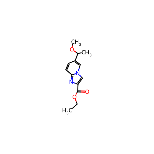 CCOC(=O)c1cn2cc(C(C)OC)ccc2n1